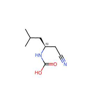 CC(C)C[C@@H](CC#N)NC(=O)O